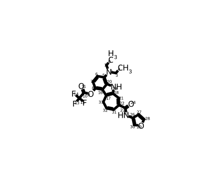 CCN(CC)c1ccc(OC(=O)C(F)(F)F)c2c3c([nH]c12)C=C(C(=O)Nc1ccoc1)C=CC3